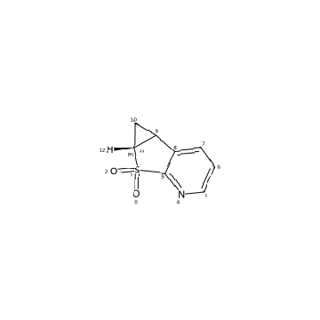 O=S1(=O)c2ncccc2C2C[C@H]21